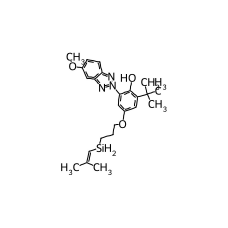 COc1ccc2nn(-c3cc(OCCC[SiH2]C=C(C)C)cc(C(C)(C)C)c3O)nc2c1